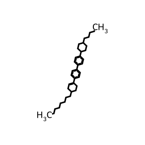 CCCCCCCCC1CC=C(c2ccc(-c3ccc(C4CCC(CCCCC)CC4)cc3)cc2)CC1